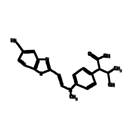 CC(O)C(C(=O)O)c1ccc(N(C)/C=C/c2nc3cc(S)ccc3s2)cc1